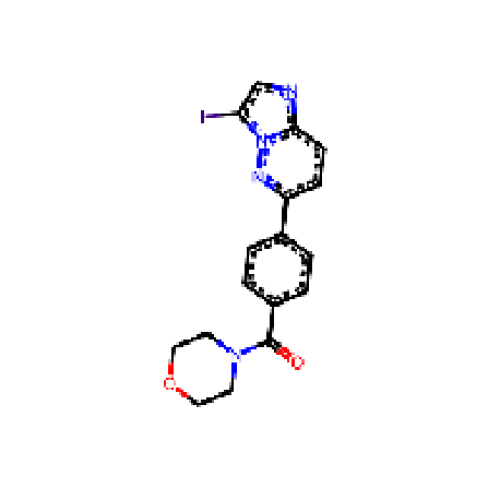 O=C(c1ccc(-c2ccc3ncc(I)n3n2)cc1)N1CCOCC1